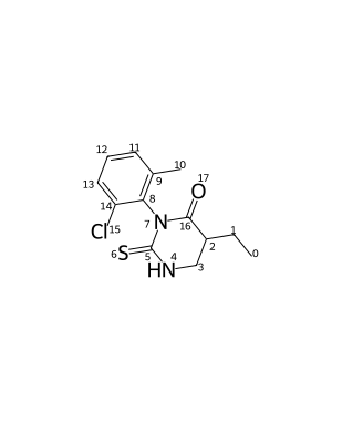 CCC1CNC(=S)N(c2c(C)cccc2Cl)C1=O